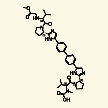 COC(=O)CN[C@H](C(=O)N1CCC[C@H]1c1ncc(-c2ccc(-c3ccc(-c4cnc([C@@H]5CCCN5C(=O)[C@H](C(C)C)N(C)C(=O)O)[nH]4)cc3)cc2)[nH]1)C(C)C